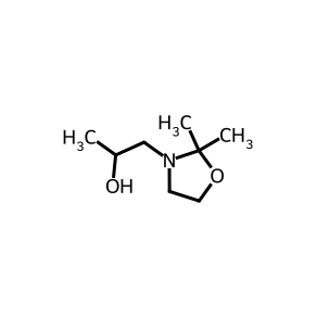 CC(O)CN1CCOC1(C)C